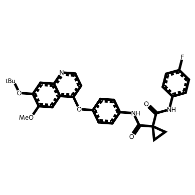 COc1cc2c(Oc3ccc(NC(=O)C4(C(=O)Nc5ccc(F)cc5)CC4)cc3)ccnc2cc1OC(C)(C)C